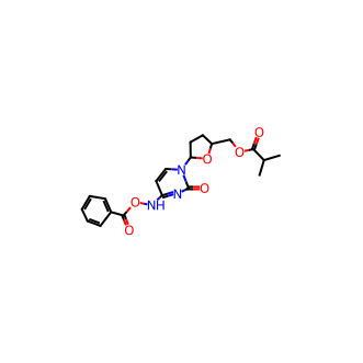 CC(C)C(=O)OCC1CCC(n2ccc(NOC(=O)c3ccccc3)nc2=O)O1